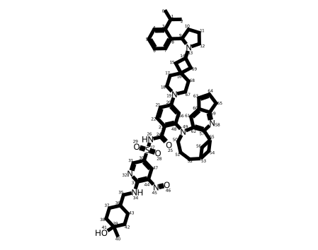 CC(C)c1ccccc1C1CCCN1C1CC2(CCN(c3ccc(C(=O)NS(=O)(=O)c4cnc(NCC5CCC(C)(O)CC5)c(N=O)c4)c(N4CCCC5CC(C5)c5nc6c(cc54)C=CC6)c3)CC2)C1